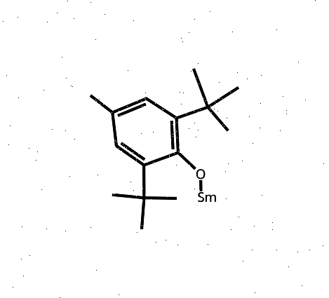 Cc1cc(C(C)(C)C)c([O][Sm])c(C(C)(C)C)c1